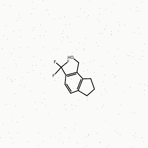 OCc1c(C(F)(F)F)ccc2c1CCC2